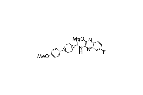 COc1ccc(N2CCN(C(=O)Nc3nc4cc(F)ccc4nc3OC)CC2)cc1